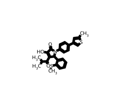 CSc1ccccc1C1C(C(=O)C(C)C)=C(O)C(=O)N1c1ccc(-c2csc(C)c2)cc1